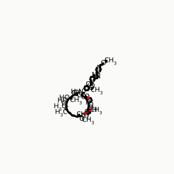 CCOCCN1CCN(c2ncc3c(n2)CCN(C(=O)O[C@@H]2CC[C@@H](C[C@@H](N)[C@@H]4CC(=O)[C@H](C)/C=C(\C)[C@@H](O)[C@@H](O)C(=O)[C@H](C)C[C@H](C)/C=C/C=C/C=C(\C)[C@@H](OC)C[C@@H]5CC[C@@H](C)[C@@](O)(O5)C(=O)C(=O)N5CCCC[C@H]5C(=O)O4)C[C@H]2OC)C3)CC1